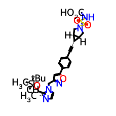 C[C@H](O[Si](C)(C)C(C)(C)C)c1nccn1Cc1cc(-c2ccc(C#C[C@@H]3[C@H]4CN(S(=O)(=O)NC(=O)O)C[C@@H]34)cc2)on1